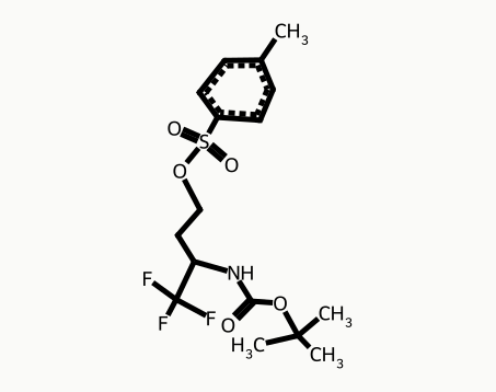 Cc1ccc(S(=O)(=O)OCCC(NC(=O)OC(C)(C)C)C(F)(F)F)cc1